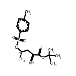 Cc1ccc(S(=O)(=O)O[C@H](C)CC(=N)C(=O)OC(C)(C)C)cc1